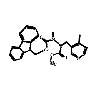 Cc1ccncc1CC(C(=O)OC(C)(C)C)N(C)C(=O)OCC1c2ccccc2-c2ccccc21